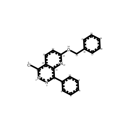 Clc1nnc(-c2ccccc2)c2nc(OCc3ccccc3)ccc12